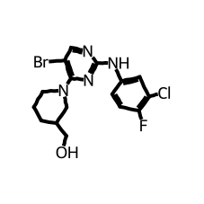 OCC1CCCN(c2nc(Nc3ccc(F)c(Cl)c3)ncc2Br)C1